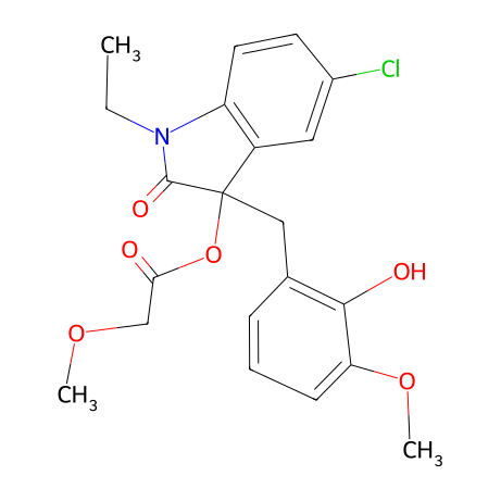 CCN1C(=O)C(Cc2cccc(OC)c2O)(OC(=O)COC)c2cc(Cl)ccc21